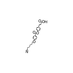 N#CCCCCCOc1ccc(C(=O)Oc2ccc(/C=C/C(=O)O)cc2)cc1